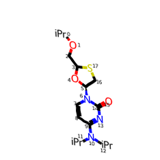 CC(C)OCC1O[C@H](n2ccc(N(C(C)C)C(C)C)nc2=O)CS1